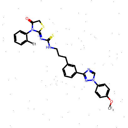 CCc1ccccc1N1C(=O)CS/C1=N\C(=S)NCCCc1cccc(-c2ncn(-c3ccc(OC(F)(F)F)cc3)n2)c1